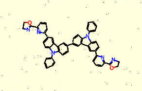 c1ccc(-n2c3ccc(-c4ccc5c(c4)c4cc(-c6cccc(C7=NCCO7)n6)ccc4n5-c4ccccc4)cc3c3cc(-c4cccc(C5=NCCO5)n4)ccc32)cc1